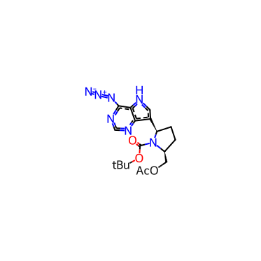 CC(=O)OC[C@@H]1CC[C@H](c2c[nH]c3c(N=[N+]=[N-])ncnc23)N1C(=O)OC(C)(C)C